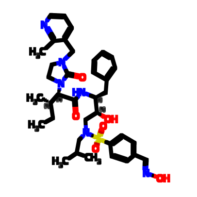 CC[C@H](C)[C@@H](C(=O)N[C@@H](Cc1ccccc1)[C@@H](O)CN(CC(C)C)S(=O)(=O)c1ccc(C=NO)cc1)N1CCN(Cc2cccnc2C)C1=O